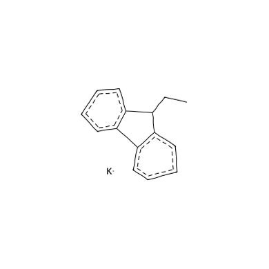 CCC1c2ccccc2-c2ccccc21.[K]